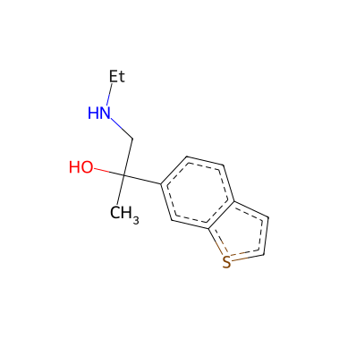 CCNCC(C)(O)c1ccc2ccsc2c1